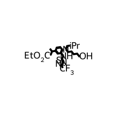 CCOC(=O)CC(C)c1ccc(N(CCCCCO)CC(C)C)c(Nc2nc(C(F)(F)F)ns2)c1